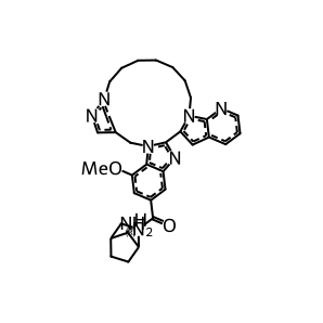 COc1cc(C(=O)N2CC3CCC2[C@@H]3N)cc2nc3n(c12)Cc1cnn(c1)CCCCCCCn1c-3cc2cccnc21